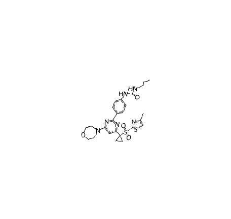 CCCNC(=O)Nc1ccc(-c2nc(N3CCOCC3)cc(C3(S(=O)(=O)c4nc(C)cs4)CC3)n2)cc1